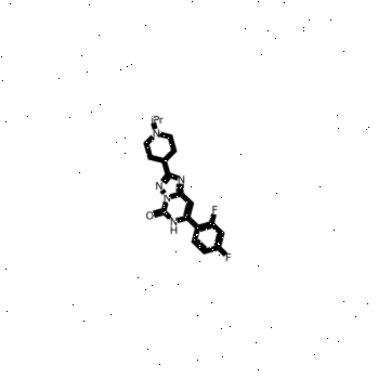 CC(C)N1CCC(c2nc3cc(-c4ccc(F)cc4F)[nH]c(=O)n3n2)CC1